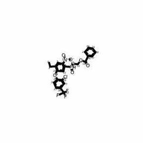 CCc1cc([N+](=O)[O-])c([PH](=O)OCOC(=O)c2ccccc2)cc1Oc1ccc(C(F)(F)F)cc1Cl